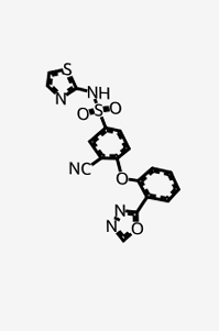 N#Cc1cc(S(=O)(=O)Nc2nccs2)ccc1Oc1ccccc1-c1nnco1